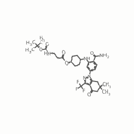 CC1(C)CC(=O)c2c(C(F)(F)F)nn(-c3ccc(C(N)=O)c(NC4CCC(OC(=O)CCNC(=O)OC(C)(C)C)CC4)c3)c2C1